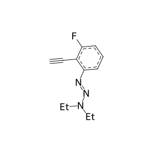 C#Cc1c(F)cccc1N=NN(CC)CC